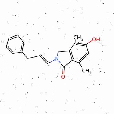 Cc1cc(O)c(C)c2c1C(=O)N(C=CCc1ccccc1)C2